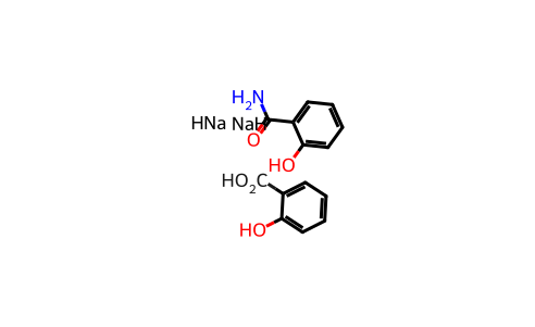 NC(=O)c1ccccc1O.O=C(O)c1ccccc1O.[NaH].[NaH]